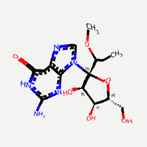 COC(C)[C@@]1(n2cnc3c(=O)[nH]c(N)nc32)O[C@H](CO)[C@@H](O)[C@H]1O